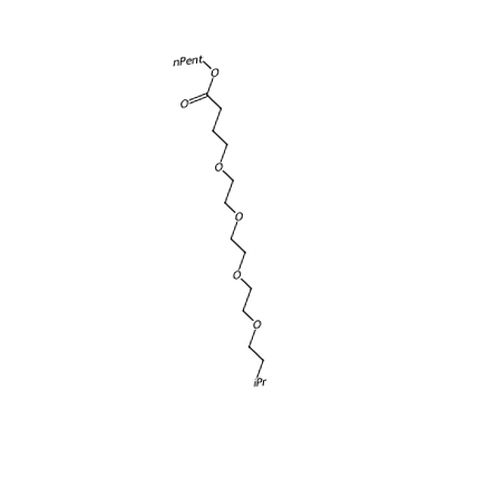 CCCCCOC(=O)CCCOCCOCCOCCOCCC(C)C